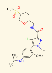 CCn1nc(C(=O)NCC2CCC(S(C)(=O)=O)CO2)c(Cl)c1-c1ccc(NC(C)C(F)(F)F)cc1OC